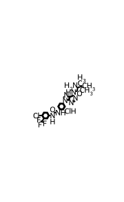 CC(C)(C)C(N)C(=O)Nc1ncnc2c1ncn2-c1ccc(NC(=O)Nc2ccc(Cl)c(C(F)(F)F)c2)cc1.Cl